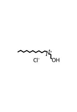 CCCCCCCCCC[N+](C)(C)CCO.[Cl-]